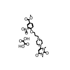 COC(=O)c1ccc(OCCCN2CCN(c3cc(=O)n(C)c(=O)n3C)CC2)c([N+](=O)[O-])c1.O=C(O)C(=O)O